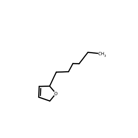 CCCCCCC1C=CCO1